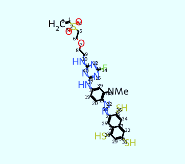 C=CS(=O)(=O)CCOCCNc1nc(F)nc(Nc2ccc(N=Nc3cc4c(S)cc(S)cc4cc3S)c(NC)c2)n1